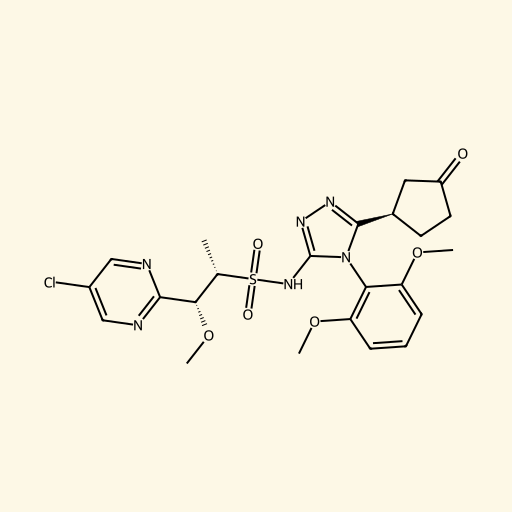 COc1cccc(OC)c1-n1c(NS(=O)(=O)[C@@H](C)[C@H](OC)c2ncc(Cl)cn2)nnc1[C@@H]1CCC(=O)C1